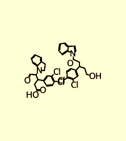 O=C(CC(CCO)c1ccc(Cl)c(Cl)c1)n1ccc2ccccc21.O=CC(C(CC(=O)O)c1ccc(Cl)c(Cl)c1)N1CCc2ccccc21